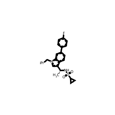 CC(C)Cn1cc([C@@H](C)NS(=O)(=O)C2CC2)c2ccc(-c3ccc(F)cc3)cc21